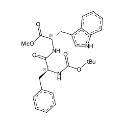 COC(=O)[C@H](Cc1c[nH]c2ccccc12)NC(=O)[C@H](Cc1ccccc1)NC(=O)OC(C)(C)C